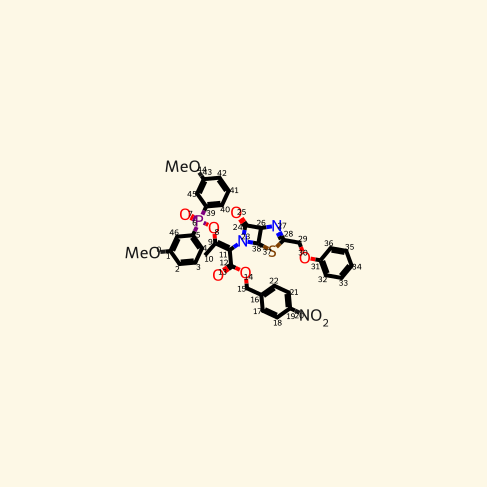 COc1cccc(P(=O)(OC(C)=C(C(=O)OCc2ccc([N+](=O)[O-])cc2)N2C(=O)C3N=C(COc4ccccc4)SC32)c2cccc(OC)c2)c1